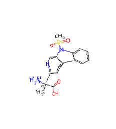 C[C@](N)(C(=O)O)c1cc2c3ccccc3n(S(C)(=O)=O)c2cn1